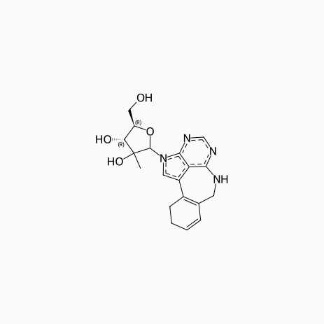 CC1(O)C(n2cc3c4c(ncnc42)NCC2=C3CCC=C2)O[C@H](CO)[C@H]1O